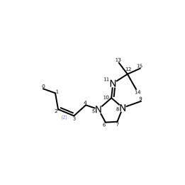 CC/C=C\CN1CCN(C)C1=NC(C)(C)C